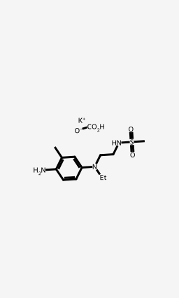 CCN(CCNS(C)(=O)=O)c1ccc(N)c(C)c1.O=C([O-])O.[K+]